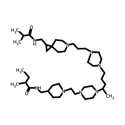 CCC(C)C(=O)NCC1CCN(CCN2CCN(C(C)CCCN3CCN(CCCN4CCC5(CC4)CC5CNC(=O)C(C)C)CC3)CC2)CC1